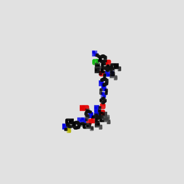 Cc1ncsc1-c1ccc([C@H](C)NC(=O)[C@@H]2C[C@@H](O)CN2C(=O)[C@@H](NC(=O)CO[C@H]2C[C@H](N3CCN(c4ccc(C(=O)N[C@H]5C(C)(C)[C@H](Oc6ccc(C#N)c(Cl)c6)C5(C)C)cn4)CC3)C2)C(C)(C)C)cc1